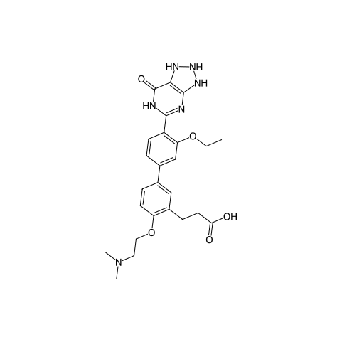 CCOc1cc(-c2ccc(OCCN(C)C)c(CCC(=O)O)c2)ccc1-c1nc2c(c(=O)[nH]1)NNN2